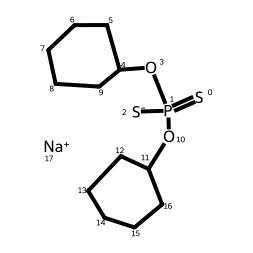 S=P([S-])(OC1CCCCC1)OC1CCCCC1.[Na+]